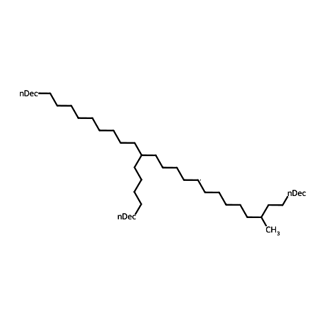 CCCCCCCCCCCCCCCCCCCC(CCCC[CH]CCCCCC(C)CCCCCCCCCCCC)CCCCCCCCCCCCCC